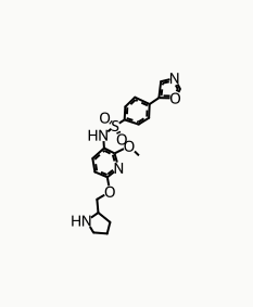 COc1nc(OCC2CCCN2)ccc1NS(=O)(=O)c1ccc(-c2cnco2)cc1